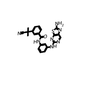 CC(C)(C#N)c1cccc(C(=O)Nc2cccc(Nc3ncc4nc(N)sc4n3)c2)c1